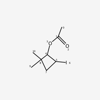 CC(=O)OC1C(I)CC1(C)C